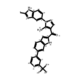 Cc1nc2cc(-n3ncc(C(=O)c4cc5ccc(-c6ccnc(C(F)(F)F)c6)cc5[nH]4)c3N)ccc2[nH]1